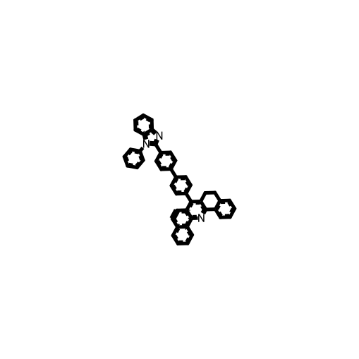 c1c2ccccc2c2nc3c(c(-c4ccc(-c5ccc(-c6nc7ccccc7n6-c6ccccc6)cc5)cc4)c2c#1)CCc1ccccc1-3